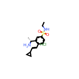 CCNS(=O)(=O)c1ccc(/C=C/C2CC2)c([C@@H](C)N)c1.Cl